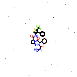 CN[C@@H](C)C(=O)N[C@H](C(=O)N1CCC[C@H]1C(=O)Nc1csc(C(F)(F)F)c1-c1ccccc1)C1CCCCC1